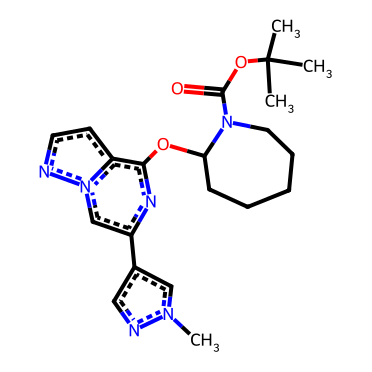 Cn1cc(-c2cn3nccc3c(OC3CCCCCN3C(=O)OC(C)(C)C)n2)cn1